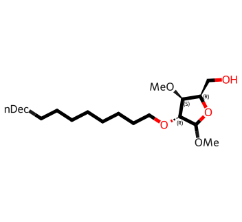 CCCCCCCCCCCCCCCCCCO[C@H]1C(OC)O[C@H](CO)[C@@H]1OC